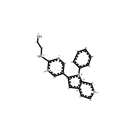 OCCNc1ncc(-c2cc3ccncc3n2-c2ccccc2)cn1